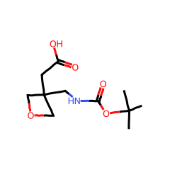 CC(C)(C)OC(=O)NCC1(CC(=O)O)COC1